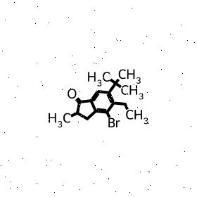 CCc1c(C(C)(C)C)cc2c(c1Br)CC(C)C2=O